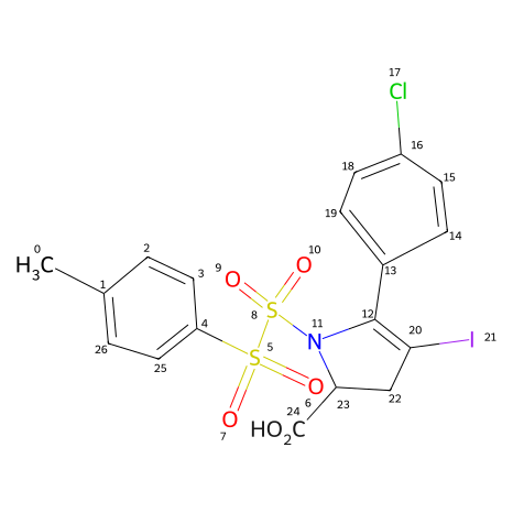 Cc1ccc(S(=O)(=O)S(=O)(=O)N2C(c3ccc(Cl)cc3)=C(I)CC2C(=O)O)cc1